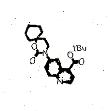 CC(C)(C)OC(=O)c1ccnc2ccc(N3CCC4(CCCCC4)OC3=O)cc12